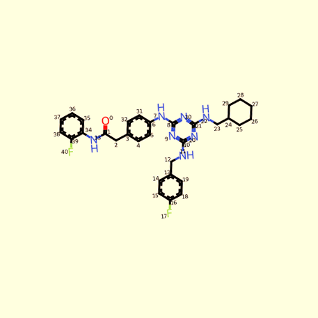 O=C(Cc1ccc(Nc2nc(NCc3ccc(F)cc3)nc(NCC3CCCCC3)n2)cc1)Nc1ccccc1F